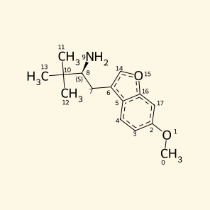 COc1ccc2c(C[C@H](N)C(C)(C)C)coc2c1